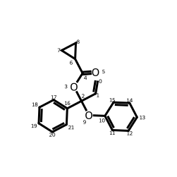 C=CC(OC(=O)C1CC1)(Oc1ccccc1)c1ccccc1